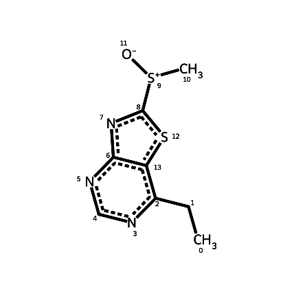 CCc1ncnc2nc([S+](C)[O-])sc12